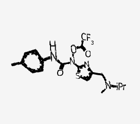 Cc1ccc(NC(=O)N(OC(=O)C(F)(F)F)c2nc(CN(C)C(C)C)cs2)cc1